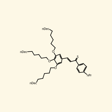 CCCCCCCCCCCCCCCOc1cc(C=CC(=S)c2ccc(CCC)cc2)cc(OCCCCCCCCCCCCCCC)c1OCCCCCCCCCCCCCCC